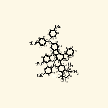 CC(C)(C)c1ccc(N2B3c4cc(C(C)(C)C)ccc4-n4c5cc(N(c6ccc(C(C)(C)C)cc6)c6ccc(C(C)(C)C)cc6)ccc5c5c6c(oc7ccccc76)c(c3c54)-c3cc4c(cc32)C(C)(C)CCC4(C)C)cc1